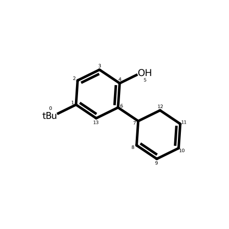 CC(C)(C)c1ccc(O)c(C2C=CC=CC2)c1